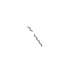 CCCCCCCCCCCCCCCCCCOC(=O)CC[C@H](N)C(=O)O.[AlH3]